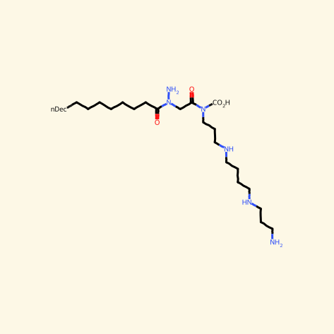 CCCCCCCCCCCCCCCCCC(=O)N(N)CC(=O)N(CCCNCCCCNCCCN)C(=O)O